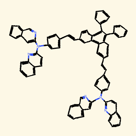 C(=C\c1ccc2c(-c3ccccc3)c(-c3ccccc3)c3ccc(/C=C/c4ccc(N(c5cc6ccccc6cn5)c5ccc6ccccc6n5)cc4)cc3c2c1)/c1ccc(N(c2cc3ccccc3cn2)c2ccc3ccccc3n2)cc1